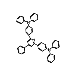 c1ccc(-c2cc(-c3ccc(N(c4ccccc4)c4ccccc4)cc3)nc(-c3ccc(N(c4ccccc4)c4ccccc4)cc3)c2)cc1